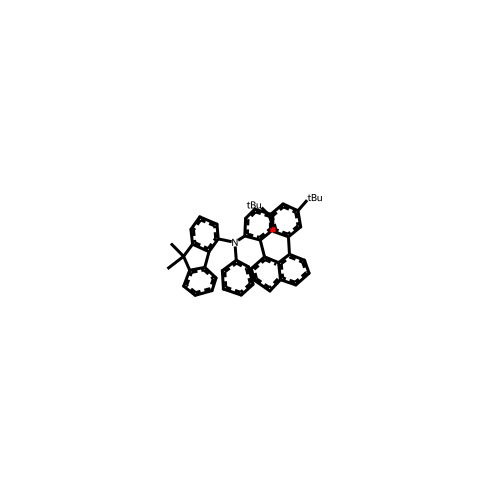 CC(C)(C)c1cc(-c2cccc3cccc(-c4ccccc4N(c4ccccc4)c4cccc5c4-c4ccccc4C5(C)C)c23)cc(C(C)(C)C)c1